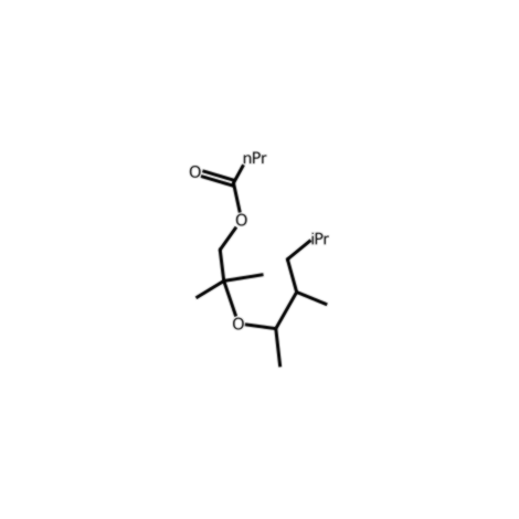 CCCC(=O)OCC(C)(C)OC(C)C(C)CC(C)C